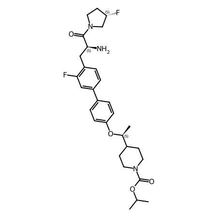 CC(C)OC(=O)N1CCC([C@H](C)Oc2ccc(-c3ccc(C[C@H](N)C(=O)N4CC[C@H](F)C4)c(F)c3)cc2)CC1